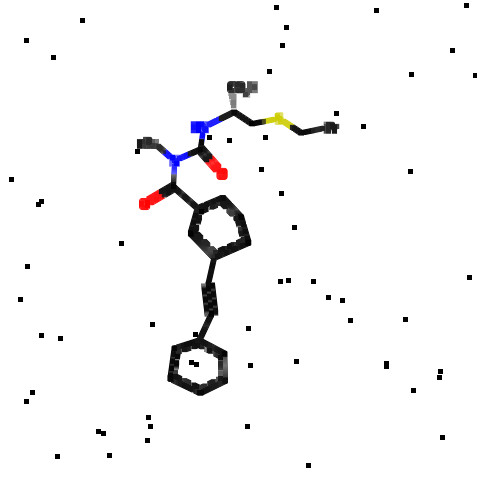 CCCCN(C(=O)N[C@@H](CSCC(C)C)C(=O)O)C(=O)c1cccc(C#Cc2ccccc2)c1